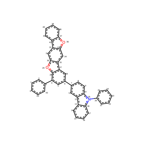 c1ccc(-c2cc(-c3ccc4c(c3)c3ccccc3n4-c3ccccc3)cc3c2oc2cc4c(cc23)oc2ccccc24)cc1